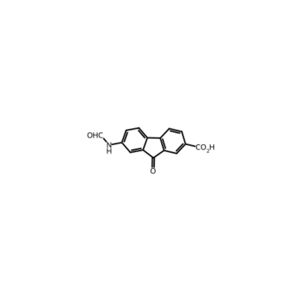 O=CNc1ccc2c(c1)C(=O)c1cc(C(=O)O)ccc1-2